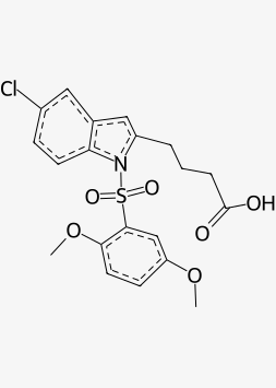 COc1ccc(OC)c(S(=O)(=O)n2c(CCCC(=O)O)cc3cc(Cl)ccc32)c1